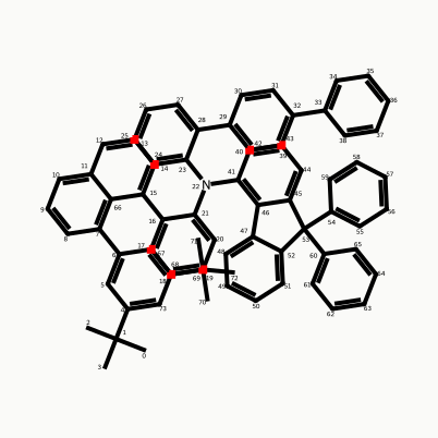 CC(C)(C)c1cc(-c2cccc3cccc(-c4ccccc4N(c4ccccc4-c4ccc(-c5ccccc5)cc4)c4cccc5c4-c4ccccc4C5(c4ccccc4)c4ccccc4)c23)cc(C(C)(C)C)c1